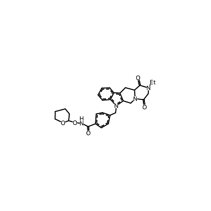 CCN1CC(=O)N2Cc3c(c4ccccc4n3Cc3ccc(C(=O)NOC4CCCCO4)cc3)CC2C1=O